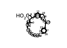 Cc1nc2ccc1C(CC(=O)O)c1ccc3c(c1)CN(CC3)C(=O)c1ccc(cc1)CCCCCO2